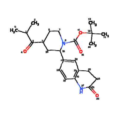 CC(C)C(=O)C1CCN(C(=O)OC(C)(C)C)C(c2ccc3c(c2)CCC(=O)N3)C1